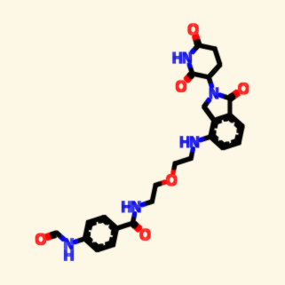 O=CNc1ccc(C(=O)NCCOCCNc2cccc3c2CN(C2CCC(=O)NC2=O)C3=O)cc1